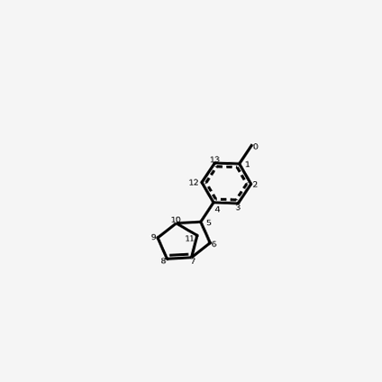 Cc1ccc(C2CC3=CCC2C3)cc1